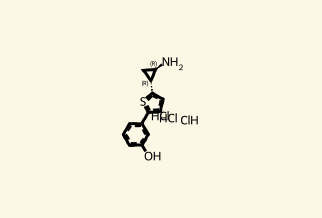 Cl.Cl.Cl.N[C@@H]1C[C@H]1c1ccc(-c2cccc(O)c2)s1